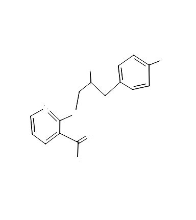 CC(CSc1ncccc1C(=O)O)Cc1ccc(F)cc1